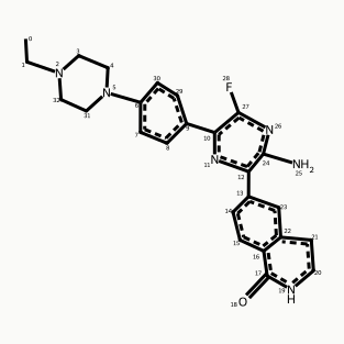 CCN1CCN(c2ccc(-c3nc(-c4ccc5c(=O)[nH]ccc5c4)c(N)nc3F)cc2)CC1